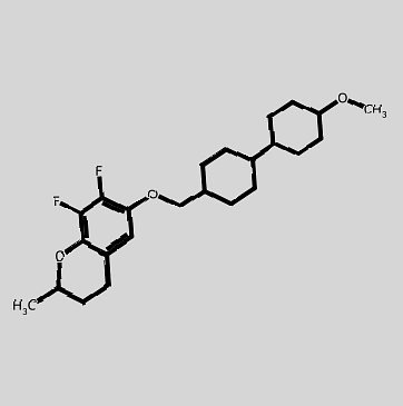 COC1CCC(C2CCC(COc3cc4c(c(F)c3F)OC(C)CC4)CC2)CC1